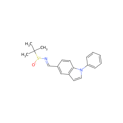 CC(C)(C)[S+]([O-])/N=C/c1ccc2c(ccn2-c2ccccc2)c1